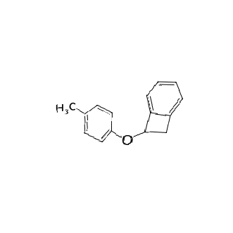 Cc1ccc(OC2Cc3ccccc32)cc1